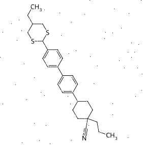 CCCC1(C#N)CCC(c2ccc(-c3ccc(C4SCC(CC)CS4)cc3)cc2)CC1